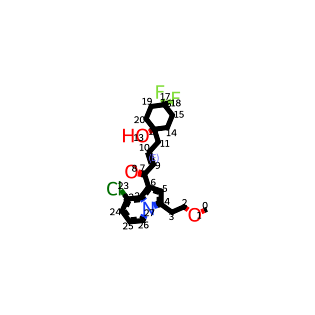 COCCc1cc(C(=O)/C=C/CC2(O)CCC(F)(F)CC2)c2c(Cl)cccn12